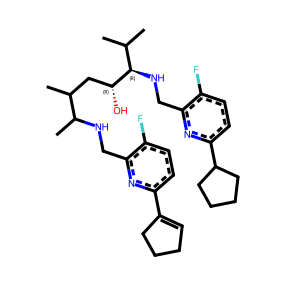 CC(C[C@@H](O)[C@H](NCc1nc(C2CCCC2)ccc1F)C(C)C)C(C)NCc1nc(C2=CCCC2)ccc1F